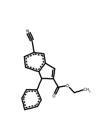 CCOC(=O)C1=Cc2cc(C#N)ccc2C1c1ccccc1